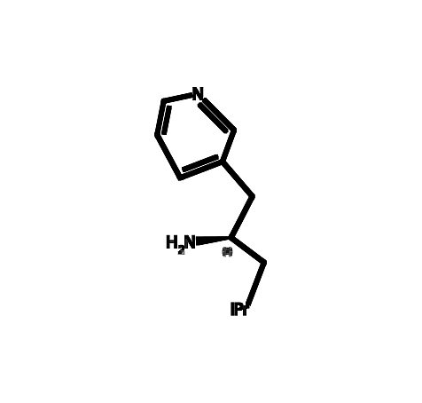 CC(C)C[C@@H](N)Cc1cccnc1